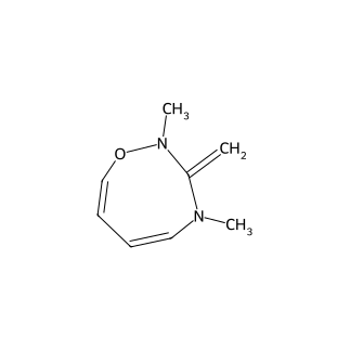 C=C1N(C)/C=C\C=C/ON1C